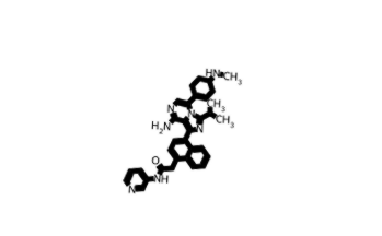 CNC1CC=C(c2cnc(N)c3c(-c4ccc(CC(=O)Nc5cccnc5)c5ccccc45)nc(C(C)C)n23)CC1